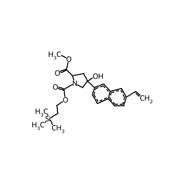 C=Cc1ccc2ccc(C3(O)CC(C(=O)OC)N(C(=O)OCC[Si](C)(C)C)C3)cc2c1